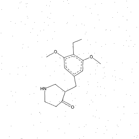 CCc1c(OC)cc(CC2CNCCC2=O)cc1OC